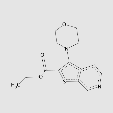 CCOC(=O)c1sc2cnccc2c1N1CCOCC1